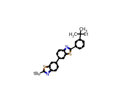 CCC(C)(C)c1cccc(-c2nc3ccc(-c4ccc5nc(C(C)(C)C)sc5c4)cc3s2)c1